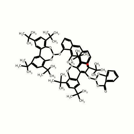 CC(C)(C)c1cc(-c2cc(C(C)(C)C)cc(C(C)(C)C)c2OP2Oc3cccc4cc5cccc(Op6oc7c(C(C)(C)C)cc(C(C)(C)C)cc7c7cc(C(C)(C)C)cc(C(C)(C)C)c7o6)c5c(c34)O2)c(OP2OC(=O)c3ccccc3O2)c(C(C)(C)C)c1